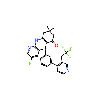 CC1(C)CC(=O)C2=C(C1)Nc1ncc(F)cc1C2(C)c1cccc(-c2ccncc2CC(F)(F)F)c1